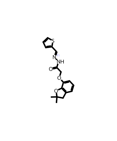 CC1(C)Cc2cccc(OCC(=O)N/N=C/c3cccs3)c2O1